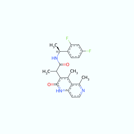 Cc1nccc2[nH]c(=O)c(C(C)C(=O)N[C@@H](C)c3ccc(F)cc3F)c(C)c12